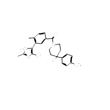 Cc1nc(Cl)c(-c2cc(C(=O)N3CCC(F)(c4ccc(C#N)cc4)CC3)ccc2C)[nH]1